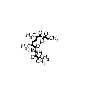 CCC(=O)NC(=O)C(C)CCC(C)C(=O)NNC(=O)C(C)C